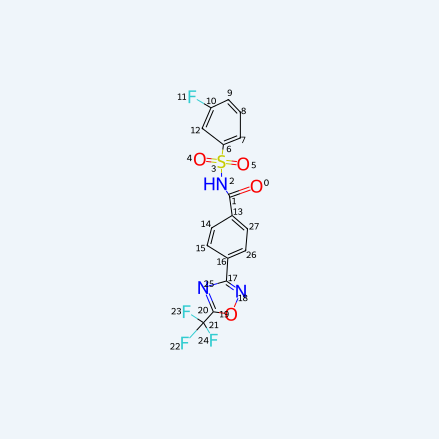 O=C(NS(=O)(=O)c1cccc(F)c1)c1ccc(-c2noc(C(F)(F)F)n2)cc1